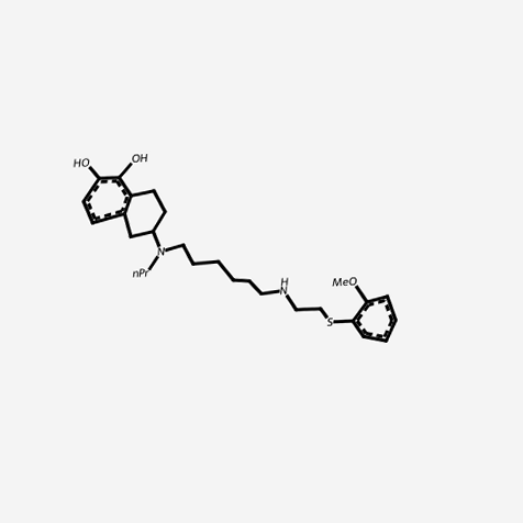 CCCN(CCCCCCNCCSc1ccccc1OC)C1CCc2c(ccc(O)c2O)C1